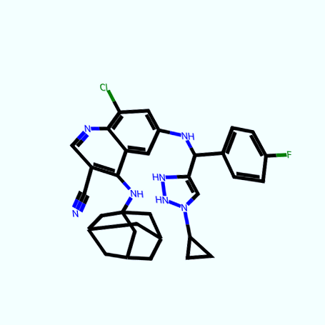 N#Cc1cnc2c(Cl)cc(NC(C3=CN(C4CC4)NN3)c3ccc(F)cc3)cc2c1NC12CC3CC(CC(C3)C1)C2